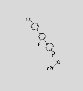 CCCC1O[C@H]1COc1ccc(-c2ccc(-c3ccc(CC)cc3)cc2F)cc1